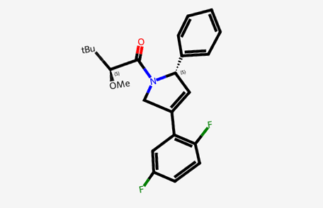 CO[C@H](C(=O)N1CC(c2cc(F)ccc2F)=C[C@H]1c1ccccc1)C(C)(C)C